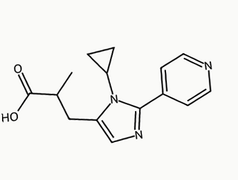 CC(Cc1cnc(-c2ccncc2)n1C1CC1)C(=O)O